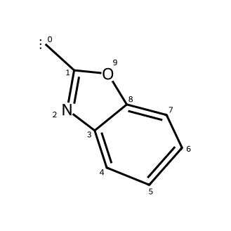 [C]c1nc2ccccc2o1